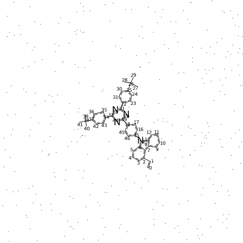 C=Cc1cccc2c1c1ccccc1n2-c1ccc(-c2nc(-c3ccc(C(C)(C)C)cc3)nc(-c3ccc(C(C)(C)C)cc3)n2)cc1